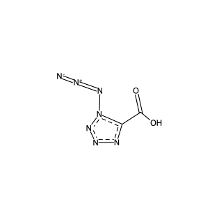 [N-]=[N+]=Nn1nnnc1C(=O)O